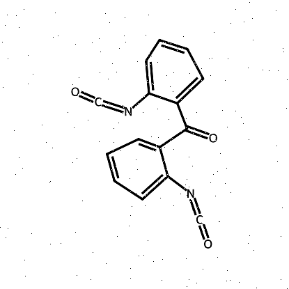 O=C=Nc1ccccc1C(=O)c1ccccc1N=C=O